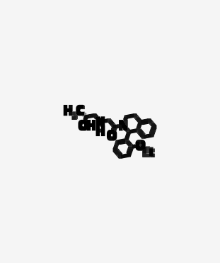 CCOc1ccccc1C1c2ccccc2CCN1C(=O)CNC[C@@H](C)O